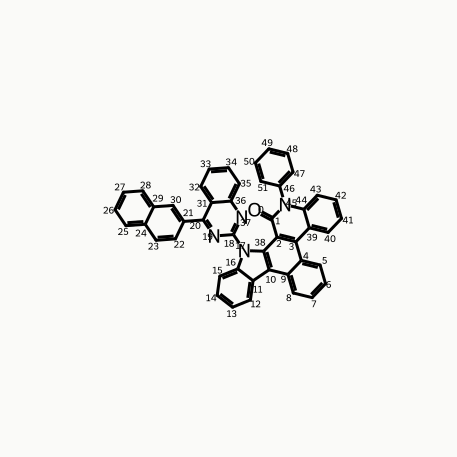 O=c1c2c(c3ccccc3c3c4ccccc4n(-c4nc(-c5ccc6ccccc6c5)c5ccccc5n4)c23)c2ccccc2n1-c1ccccc1